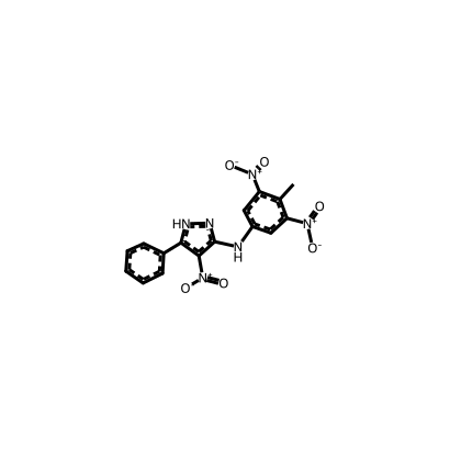 Cc1c([N+](=O)[O-])cc(Nc2n[nH]c(-c3ccccc3)c2[N+](=O)[O-])cc1[N+](=O)[O-]